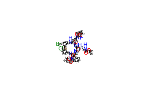 CN1C(=O)[C@H](CCCCNC(=O)OC(C)(C)C)NC(=O)[C@H](CCCNC(=O)OC(C)(C)C)NCc2ccc(Br)cc2Sc2c(Cl)cccc2CNC(=O)[C@@H]1Cc1cn(C(=O)OC(C)(C)C)c2ccccc12